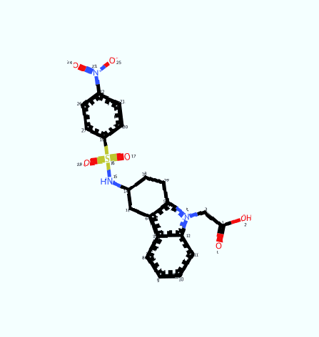 O=C(O)Cn1c2c(c3ccccc31)CC(NS(=O)(=O)c1ccc([N+](=O)[O-])cc1)CC2